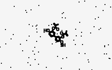 C=C(C)C(=O)Oc1cc(-c2ccc(OS)c(OC(=O)C(=C)C)c2)ccc1O